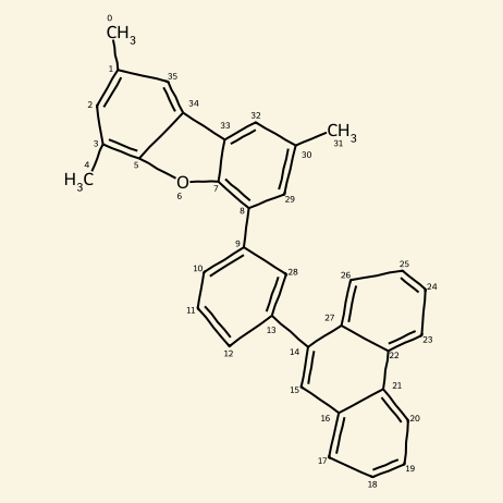 Cc1cc(C)c2oc3c(-c4cccc(-c5cc6ccccc6c6ccccc56)c4)cc(C)cc3c2c1